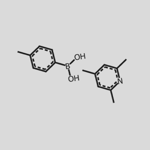 Cc1cc(C)nc(C)c1.Cc1ccc(B(O)O)cc1